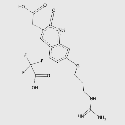 N=C(N)NCCCOc1ccc2cc(CC(=O)O)c(=O)[nH]c2c1.O=C(O)C(F)(F)F